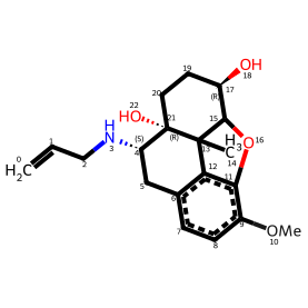 C=CCN[C@H]1Cc2ccc(OC)c3c2C2(C)C(O3)[C@H](O)CC[C@]12O